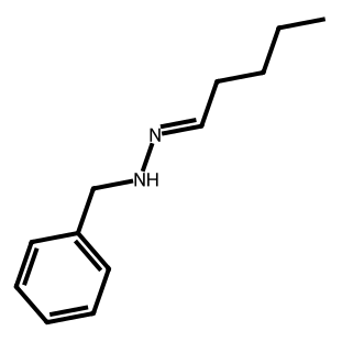 CCCCC=NNCc1ccccc1